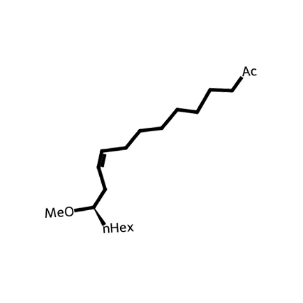 CCCCCC[C@H](C/C=C\CCCCCCCC(C)=O)OC